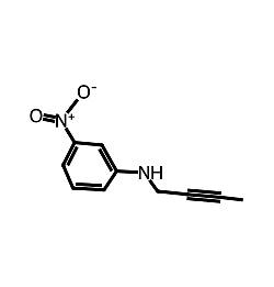 CC#CCNc1cccc([N+](=O)[O-])c1